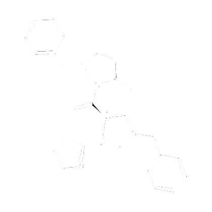 O=C1OC[C@@H](Cc2ccccc2)N1C(=O)[C@H]1CN(Cc2ccccc2)C[C@@H]1c1nccs1